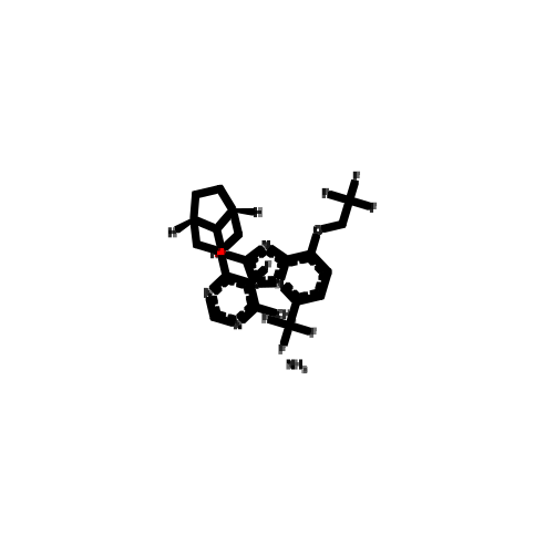 Cc1ncnc(N2C[C@H]3CC[C@@H](C2)C3Nc2nc3c(OCC(F)(F)F)ccc(C(F)(F)F)n3n2)c1F.N